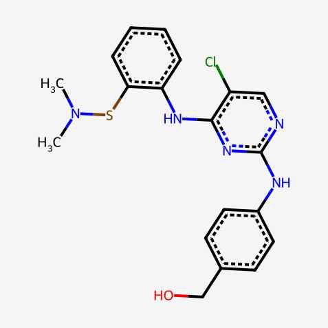 CN(C)Sc1ccccc1Nc1nc(Nc2ccc(CO)cc2)ncc1Cl